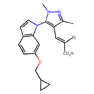 CC/C(=C\c1c(C)nn(C)c1-n1ccc2ccc(OCC3CC3)cc21)C(=O)O